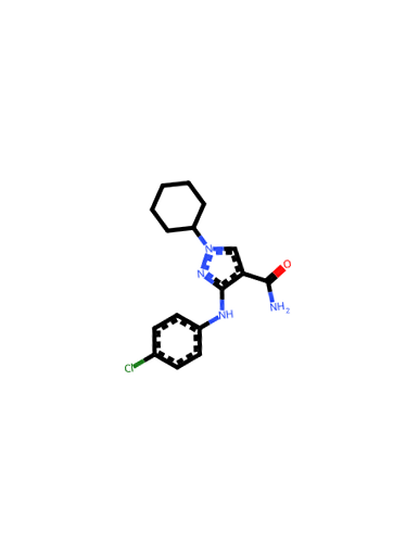 NC(=O)c1cn(C2CCCCC2)nc1Nc1ccc(Cl)cc1